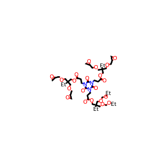 CCOCOCC(CC)(COCOCC)COC(=O)CCn1c(=O)n(CCC(=O)OCC(CC)(COCC2CO2)COCC2CO2)c(=O)n(CCC(=O)OCC(CC)(COCC2CO2)COCC2CO2)c1=O